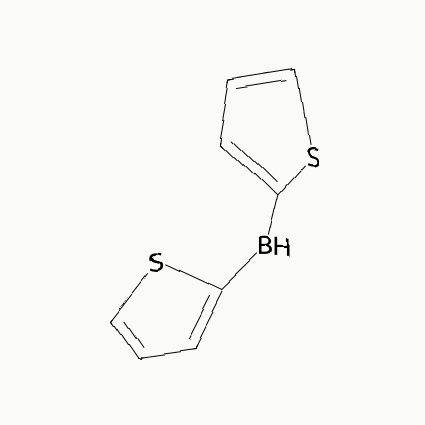 B(c1cccs1)c1cccs1